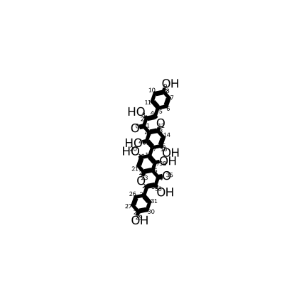 O=c1c(O)c(-c2ccc(O)cc2)oc2cc(O)c(-c3c(O)cc4oc(-c5ccc(O)cc5)c(O)c(=O)c4c3O)c(O)c12